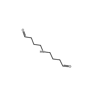 O=CCCCNCCCC=O